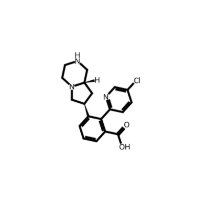 O=C(O)c1cccc([C@@H]2C[C@H]3CNCCN3C2)c1-c1ccc(Cl)cn1